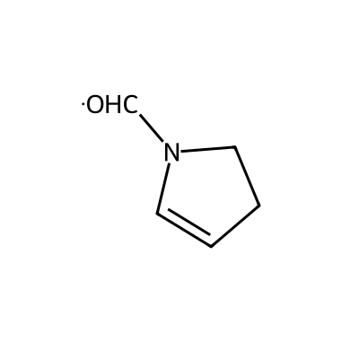 O=[C]N1C=CCC1